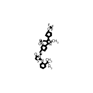 CC(C)c1ccccc1/N=C1\SCC(=O)N1/N=C/c1ccc2c(c1)S(=O)(=O)Cc1c-2nn(C)c1-c1ccc(OC(F)(F)F)cc1